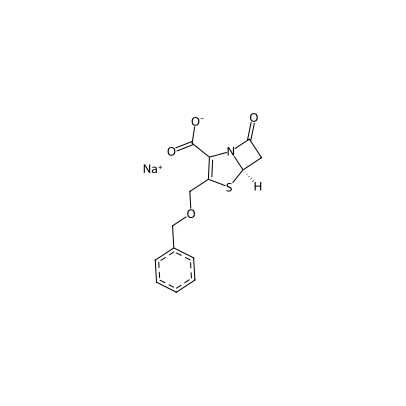 O=C([O-])C1=C(COCc2ccccc2)S[C@@H]2CC(=O)N12.[Na+]